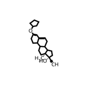 C#C[C@]1(O)CCC2C3CC=C4C=C(OC5CCCC5)CCC4C3CC[C@@]21C